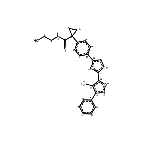 O=C(NCCO)C1(c2ccc(-c3noc(-c4onc(-c5ccccc5)c4C(F)(F)F)n3)cc2)CO1